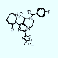 Cc1nsc(-c2nc(N3CCCCCC3=O)c3n2CCN(C(=O)c2ccc(F)cc2)C3C)n1